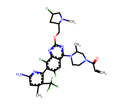 C=CC(=O)N1CCN(c2nc(OCC3CC(F)CN3C)nc3c(F)c(-c4nc(N)cc(C)c4C(F)(F)F)c(F)cc23)C(C)C1